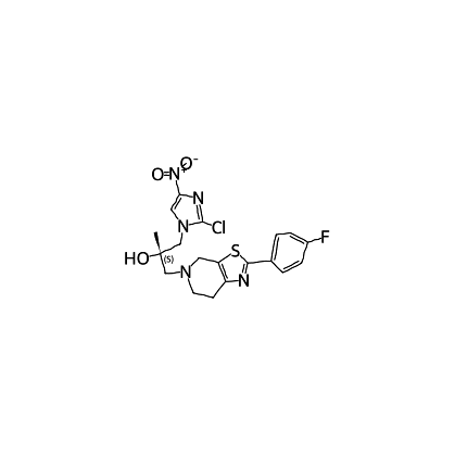 C[C@](O)(CN1CCc2nc(-c3ccc(F)cc3)sc2C1)Cn1cc([N+](=O)[O-])nc1Cl